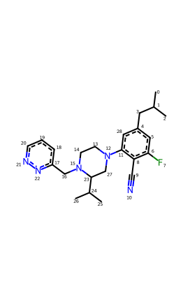 CC(C)Cc1cc(F)c(C#N)c(N2CCN(Cc3cccnn3)C(C(C)C)C2)c1